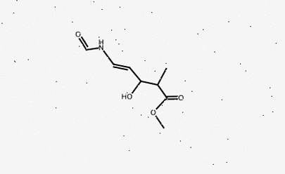 COC(=O)C(C)C(O)C=CNC=O